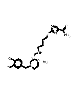 Cl.NC(=O)c1csc(SCCCCNC[C@H]2CN(Cc3ccc(Cl)c(Cl)c3)CCO2)n1